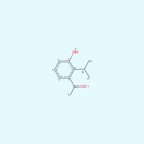 CC(=O)c1cccc(O)c1C(C)C